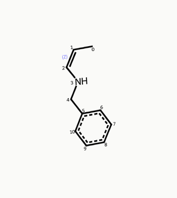 C/C=C\NCc1ccccc1